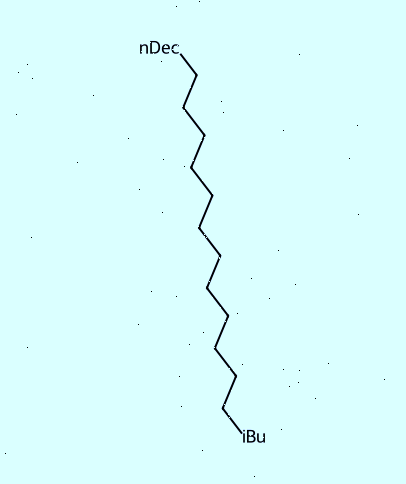 CCCCCCCCCCCCCCCCCCCCCCC(C)CC